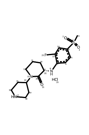 CS(=O)(=O)c1ccc(N[C@H]2CCCN(C3CCNCC3)C2=O)c(F)c1.Cl